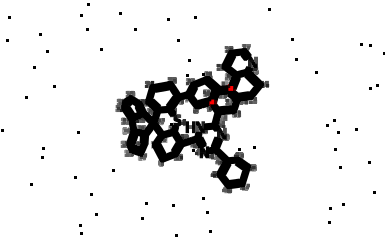 C1=CC2C(Sc3c(-c4ccc(-c5cccc6ncccc56)cc4)cccc3C23c2ccccc2-c2ccccc23)C(C2=NC(c3ccccc3)=NC(c3ccccc3)N2)=C1